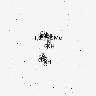 COc1cc(N2CCC(NC(=O)CCCCCCSc3cccc4c3C(=O)N(C3CCC(=O)NC3=O)C4=O)CC2)ccc1Nc1ncc(Cl)c(Nc2ccccc2P(C)C)n1